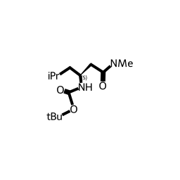 CNC(=O)C[C@H](CC(C)C)NC(=O)OC(C)(C)C